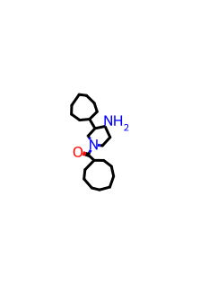 NC1CCN(C(=O)C2CCCCCCCC2)CC1C1CCCCCCC1